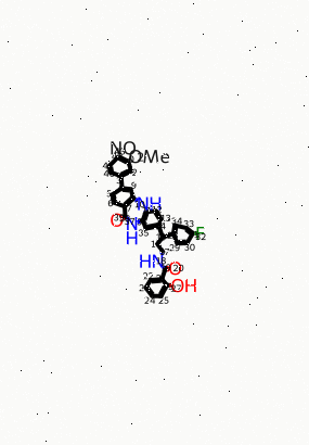 COc1cc(-c2ccc3c(c2)Nc2ccc(C(CCNC(=O)c4ccccc4O)c4ccc(F)cc4)cc2NC3=O)ccc1[N+](=O)[O-]